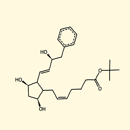 CC(C)(C)OC(=O)CCC/C=C\CC1C(/C=C/[C@@H](O)Cc2ccccc2)[C@H](O)C[C@@H]1O